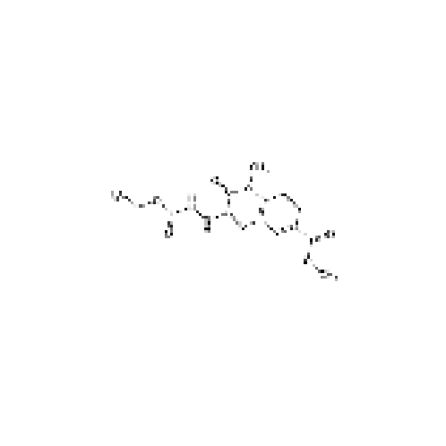 CCOC(=O)NNc1nc2cc(C(=O)OC)ccc2n(C)c1=O